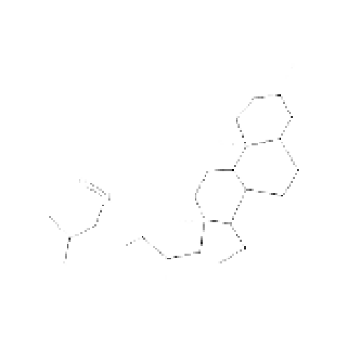 CC(C)[C@@H](CC[C@@H](C)[C@H]1CCC2C3CCC4C[C@@H](C)CC[C@]4(C)C3CC[C@@]21C)N=O